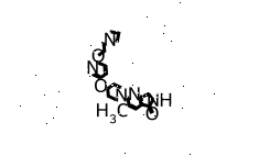 Cc1cc2c(nc1N1CCC(Oc3ccc(OCCN4CCC4)nc3)CC1)CNC2=O